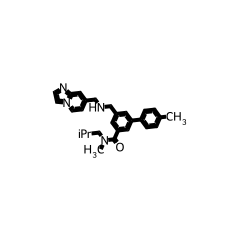 Cc1ccc(-c2cc(CNCc3ccn4ccnc4c3)cc(C(=O)N(C)CC(C)C)c2)cc1